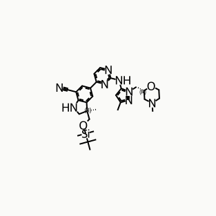 Cc1cc(Nc2nccc(-c3cc(C#N)c4c(c3)[C@@](C)(CO[Si](C)(C)C(C)(C)C)CN4)n2)n(C[C@H]2CN(C)CCO2)n1